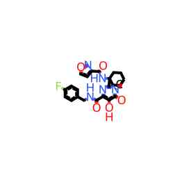 O=C(NC12CCC(CC1)Cn1c2nc(C(=O)NCc2ccc(F)cc2)c(O)c1=O)c1ccon1